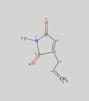 C=CCC1=CC(=O)N(F)C1=O